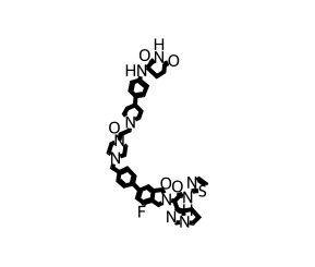 O=C1CCC(Nc2ccc(C3CCN(CC(=O)N4CCN(Cc5ccc(-c6cc(F)c7c(c6)C(=O)N(C(C(=O)Nc6nccs6)c6ncn8c6CCC8)C7)cc5)CC4)CC3)cc2)C(=O)N1